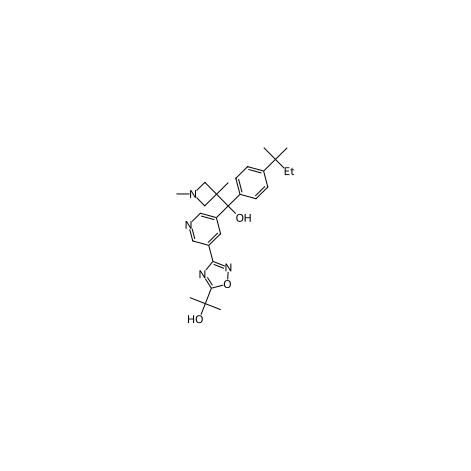 CCC(C)(C)c1ccc(C(O)(c2cncc(-c3noc(C(C)(C)O)n3)c2)C2(C)CN(C)C2)cc1